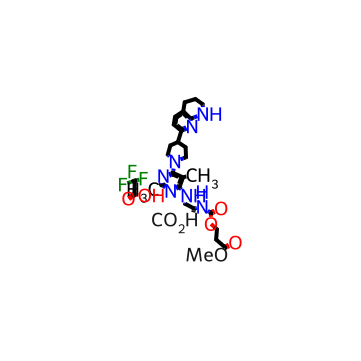 COC(=O)CCOC(=O)NC(CNc1nc(C)nc(N2CCC(c3ccc4c(n3)NCCC4)CC2)c1C)C(=O)O.O=C(O)C(F)(F)F